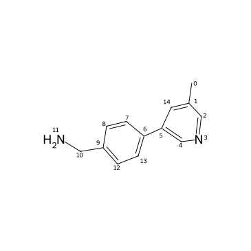 Cc1cncc(-c2ccc(CN)cc2)c1